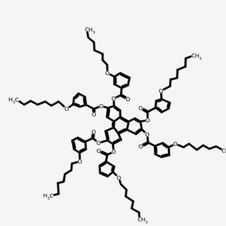 CCCCCCCOc1cccc(C(=O)Oc2cc3c4cc(OC(=O)c5cccc(OCCCCCCC)c5)c(OC(=O)c5cccc(OCCCCCCC)c5)cc4c4cc(OC(=O)c5cccc(OCCCCCCC)c5)c(OC(=O)c5cccc(OCCCCCCC)c5)cc4c3cc2OC(=O)c2cccc(OCCCCCCC)c2)c1